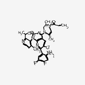 C=CC(=O)N1C[C@H](C)N(c2nc(=O)n(-c3c(C)ccnc3C(C)C)c3nc(-c4cc(F)c(F)cc4N)c(Cl)cc23)C[C@H]1C